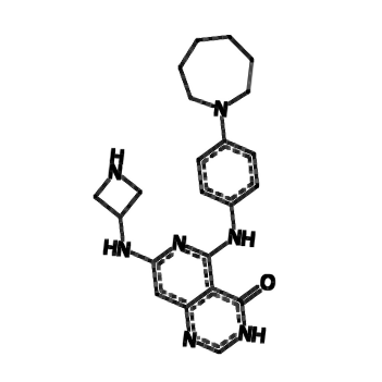 O=c1[nH]cnc2cc(NC3CNC3)nc(Nc3ccc(N4CCCCCC4)cc3)c12